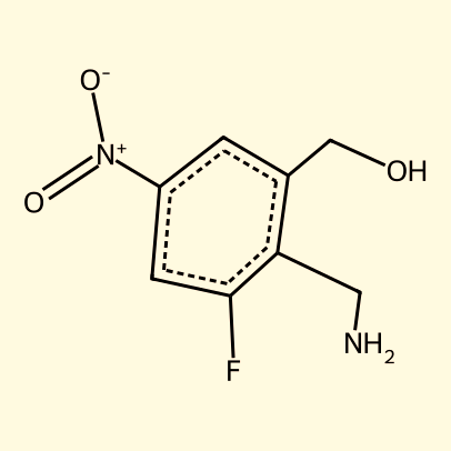 NCc1c(F)cc([N+](=O)[O-])cc1CO